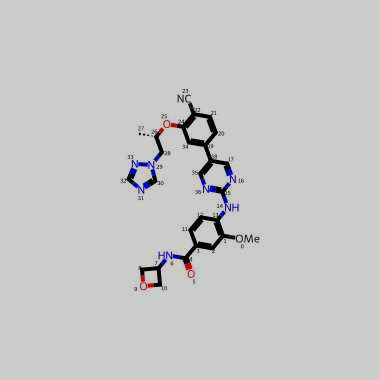 COc1cc(C(=O)NC2COC2)ccc1Nc1ncc(-c2ccc(C#N)c(O[C@@H](C)Cn3cncn3)c2)cn1